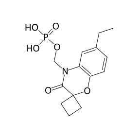 CCc1ccc2c(c1)N(COP(=O)(O)O)C(=O)C1(CCC1)O2